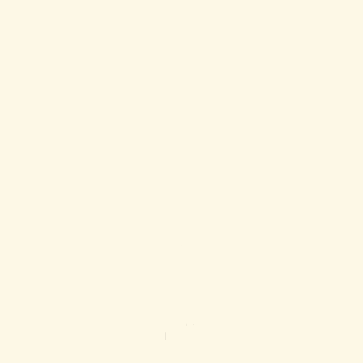 CCOc1ccc(CCc2ccc(-c3ccc(C4CCC(OCC)CC4)c(F)c3F)cc2)c(F)c1F